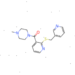 CN1CCN(C(=O)c2cccnc2SCc2cccnc2)CC1